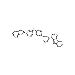 c1cc(-c2ccc3sc4nc(-c5ccc6ccccc6c5)cnc4c3c2)cc(-c2cccc3c2sc2ccccc23)c1